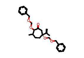 C=C(C)[C@@]1(OCOCc2ccccc2)CCC(C)C(OCOCc2ccccc2)C(=O)C1